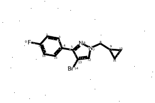 Fc1ccc(-c2nn(CC3CC3)cc2Br)cc1